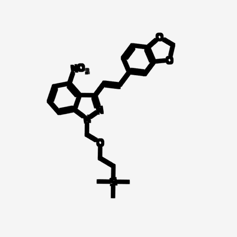 C[Si](C)(C)CCOCn1nc(C=Cc2ccc3c(c2)OCO3)c2c([N+](=O)[O-])cccc21